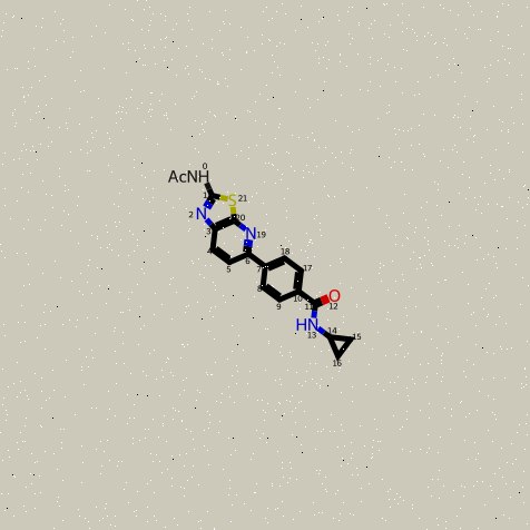 CC(=O)Nc1nc2ccc(-c3ccc(C(=O)NC4CC4)cc3)nc2s1